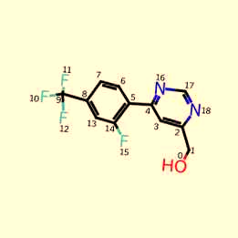 OCc1cc(-c2ccc(C(F)(F)F)cc2F)ncn1